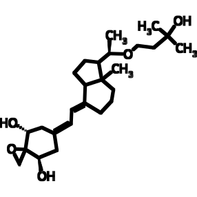 C[C@@H](OCCC(C)(C)O)C1CCC2/C(=C/C=C3C[C@@H](O)C4(CO4)[C@H](O)C3)CCCC21C